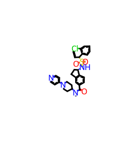 C=CC(c1ccccc1Cl)S(=O)(=O)N[C@@H]1CCc2cc(C(=O)N(C)C3CCN(c4ccncc4)CC3)ccc21